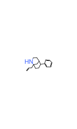 C=CCC12CCC(c3ccccc3)C(CCN1)C2